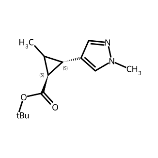 CC1[C@H](C(=O)OC(C)(C)C)[C@H]1c1cnn(C)c1